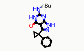 CCCCNc1nc2[nH]nc(C3(c4ccccc4)CC3)c2c(=O)[nH]1